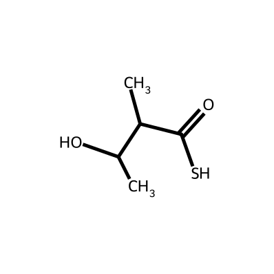 CC(O)C(C)C(=O)S